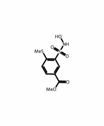 COC(=O)c1ccc(SC)c(S(=O)(=O)NO)c1